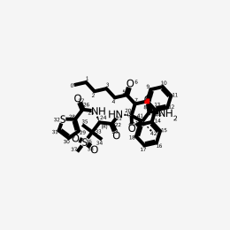 CCCCCC(=O)[C](c1ccccc1-c1ccccc1)[C@]1(NC(=O)[C@@H](NC(=O)c2cccs2)C(C)(C)S(C)(=O)=O)O[C@]1(C)C(N)=O